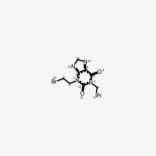 CC(C)Cn1c(=O)c2c(n(CCBr)c1=O)=NCN=2